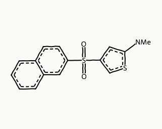 CNc1cc(S(=O)(=O)c2ccc3ccccc3c2)cs1